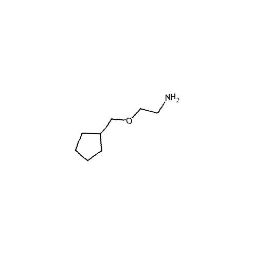 NCCOCC1CCCC1